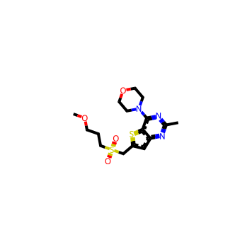 COCCCS(=O)(=O)Cc1cc2nc(C)nc(N3CCOCC3)c2s1